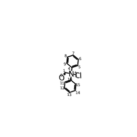 O=C[N+](Cl)(c1ccccc1)c1ccccc1